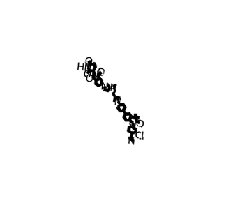 CN(CCC1CN(c2ccc(-c3ccc4c(c3)C(C)(C)C(=O)N4c3ccc(C#N)c(Cl)c3)cc2)C1)C1CCN(c2ccc3c(c2)C(=O)N(C2CCC(=O)NC2=O)C3=O)C1